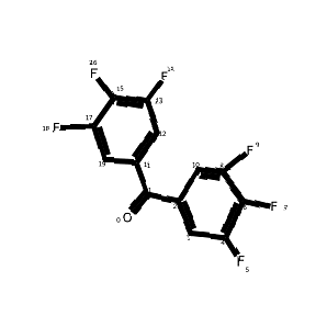 O=C(c1cc(F)c(F)c(F)c1)c1cc(F)c(F)c(F)c1